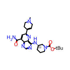 CN1CC=C(c2cc(C(N)=O)c3ncnc(N[C@H]4CCCN(C(=O)OC(C)(C)C)C4)c3n2)CC1